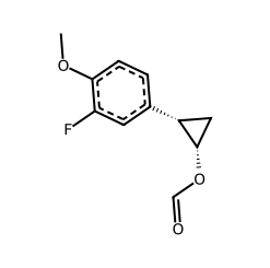 COc1ccc([C@@H]2C[C@@H]2OC=O)cc1F